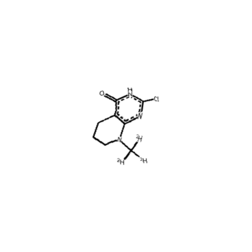 [2H]C([2H])([2H])N1CCCc2c1nc(Cl)[nH]c2=O